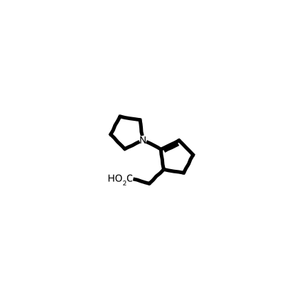 O=C(O)CC1CCC=C1N1CCCC1